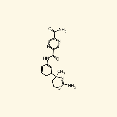 C[C@@]1(C2C=C(NC(=O)c3cnc(C(N)=O)cn3)C=CC2)CCSC(N)=N1